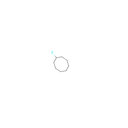 FC1C[CH]CCCCC1